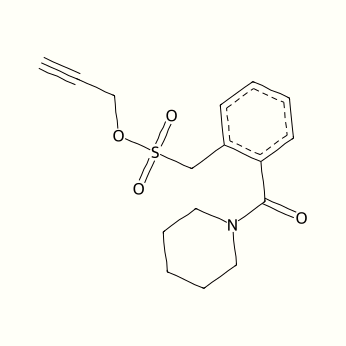 C#CCOS(=O)(=O)Cc1ccccc1C(=O)N1CCCCC1